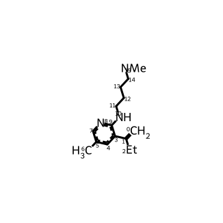 C=C(CC)c1cc(C)cnc1NCCCCNC